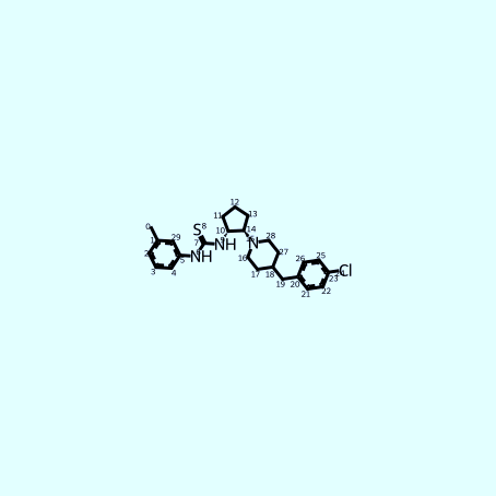 Cc1cccc(NC(=S)N[C@@H]2CCC[C@H]2N2CCC(Cc3ccc(Cl)cc3)CC2)c1